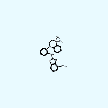 CC1(C)CCN(c2ccccc2Nc2nc3cccc(C(=O)O)c3[nH]2)c2ccccc21